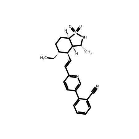 CC[C@@H]1CC[C@@H]2[C@H]([C@H]1/C=C/c1ccc(-c3ccccc3C#N)cn1)[C@@H](C)NS2(=O)=O